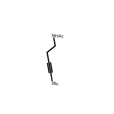 CC(=O)NCCC#CC(C)(C)C